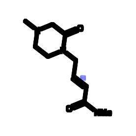 CNC(=O)/C=C/CN1CCN(C)CC1=O